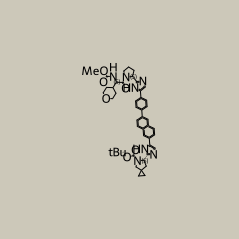 COC(=O)N[C@H](C(=O)N1CCC[C@H]1c1ncc(-c2ccc(-c3ccc4cc(-c5cnc([C@@H]6CC7(CC7)CN6C(=O)OC(C)(C)C)[nH]5)ccc4c3)cc2)[nH]1)C1CCOCC1